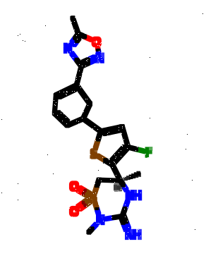 Cc1nc(C2=CC=CC(c3cc(F)c([C@]4(C)CS(=O)(=O)N(C)C(=N)N4)s3)C2)no1